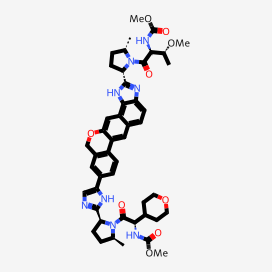 COC(=O)N[C@H](C(=O)N1[C@@H](C)CC[C@H]1c1ncc(-c2ccc3c(c2)COc2cc4c(ccc5nc([C@@H]6CC[C@H](C)N6C(=O)[C@@H](NC(=O)OC)[C@@H](C)OC)[nH]c54)cc2-3)[nH]1)C1CCOCC1